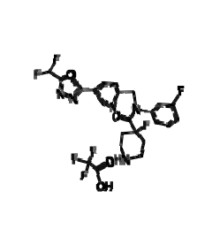 O=C(N(Cc1ccc(-c2nnc(C(F)F)o2)cn1)c1cccc(F)c1)C1(F)CCNCC1.O=C(O)C(F)(F)F